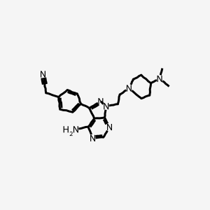 CN(C)C1CCN(CCn2nc(-c3ccc(CC#N)cc3)c3c(N)ncnc32)CC1